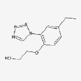 CCc1ccc(OCCO)c(-n2cnnn2)c1